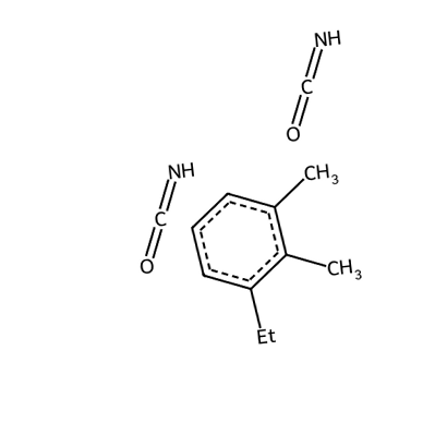 CCc1cccc(C)c1C.N=C=O.N=C=O